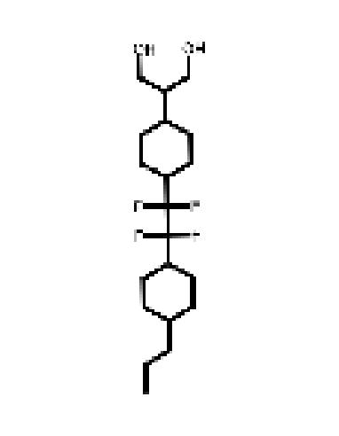 CCCC1CCC(C(F)(F)C(F)(F)C2CCC(C(CO)CO)CC2)CC1